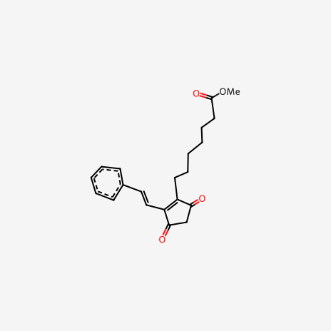 COC(=O)CCCCCCC1=C(/C=C/c2ccccc2)C(=O)CC1=O